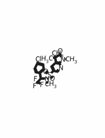 CN1C(=O)C(C)(C)c2cc(S(=O)(=O)N(C)C(c3ccc(Cl)cc3)C(F)(F)F)cnc21